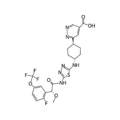 CO[C@@H](C(=O)Nc1nnc(N[C@H]2CC[C@H](c3cc(C(=O)O)cnn3)CC2)s1)c1cc(OC(F)(F)F)ccc1F